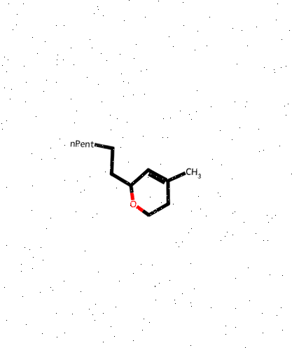 CCCCCCCC1C=C(C)CCO1